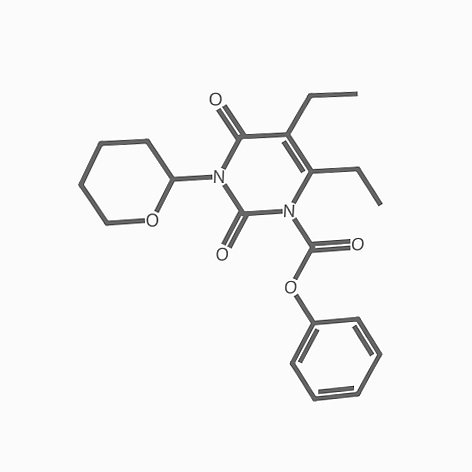 CCc1c(CC)n(C(=O)Oc2ccccc2)c(=O)n(C2CCCCO2)c1=O